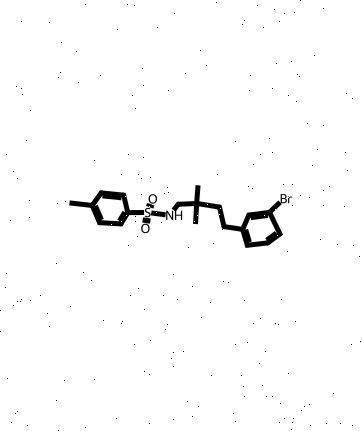 Cc1ccc(S(=O)(=O)NCC(C)(C)CCc2cccc(Br)c2)cc1